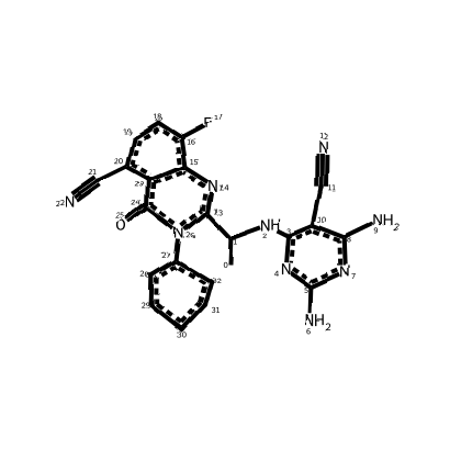 CC(Nc1nc(N)nc(N)c1C#N)c1nc2c(F)ccc(C#N)c2c(=O)n1-c1ccccc1